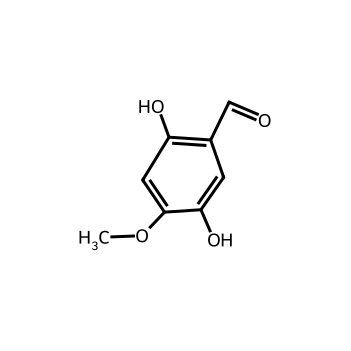 COc1cc(O)c(C=O)cc1O